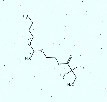 CCCCOC(C)OCCOC(=O)C(C)(C)CC